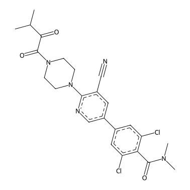 CC(C)C(=O)C(=O)N1CCN(c2ncc(-c3cc(Cl)c(C(=O)N(C)C)c(Cl)c3)cc2C#N)CC1